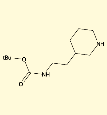 CC(C)(C)OC(=O)NCCC1CCCNC1